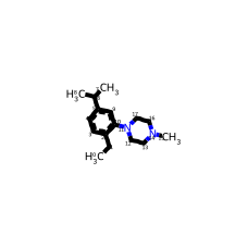 CCc1ccc(C(C)C)cc1N1CCN(C)CC1